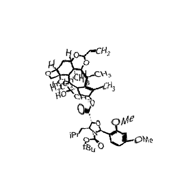 C=CC1O[C@H]2C[C@H]3OC[C@@]3(C)[C@H]3[C@H](C)[C@]4(C(C)(C)O)C[C@H](OC(=O)[C@@H]5OC(c6ccc(OC)cc6OC)N(C(=O)OC(C)(C)C)[C@H]5CC(C)C)C(C)=C4[C@H](C)[C@H](O1)[C@]23C